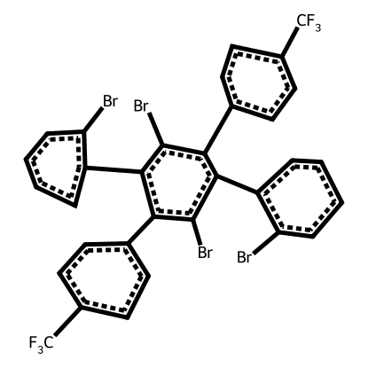 FC(F)(F)c1ccc(-c2c(Br)c(-c3ccccc3Br)c(-c3ccc(C(F)(F)F)cc3)c(Br)c2-c2ccccc2Br)cc1